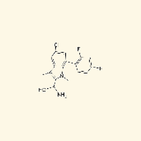 Cc1c(C(N)O)n(C)c2c(-c3ccc(F)cc3F)cc(Cl)cc12